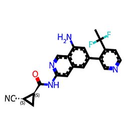 CC(F)(F)c1ccncc1-c1cc(N)c2cnc(NC(=O)[C@H]3C[C@@H]3C#N)cc2c1